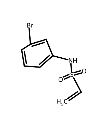 C=CS(=O)(=O)Nc1cccc(Br)c1